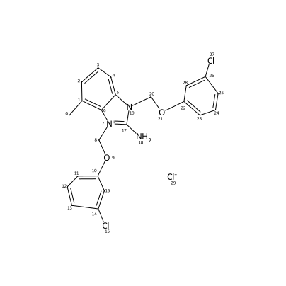 Cc1cccc2c1[n+](COc1cccc(Cl)c1)c(N)n2COc1cccc(Cl)c1.[Cl-]